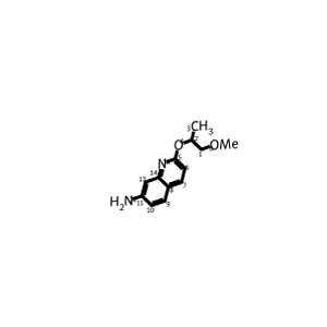 COCC(C)Oc1ccc2ccc(N)cc2n1